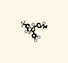 CN(C(=O)c1cc(C(F)(F)F)ccn1)C1CN(C(=O)C2CCN(C(=O)C3(C)CC3)CC2)CC1c1ccc(Cl)c(Cl)c1